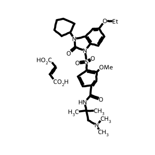 CCOc1ccc2c(c1)n(C1CCCCC1)c(=O)n2S(=O)(=O)c1ccc(C(=O)NC(C)(C)CN(C)C)cc1OC.O=C(O)/C=C/C(=O)O